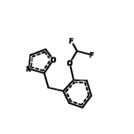 FC(F)Oc1ccccc1Cc1ncco1